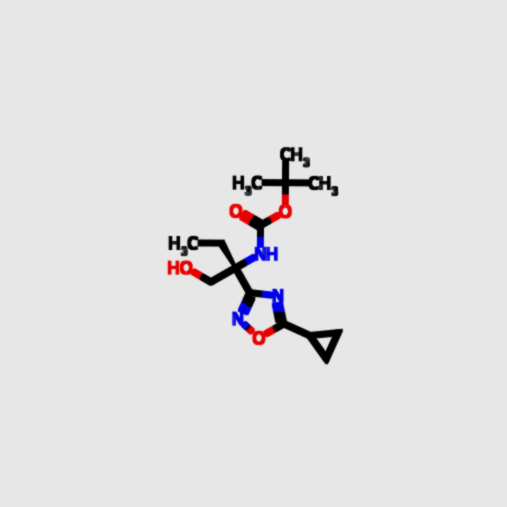 CC[C@@](CO)(NC(=O)OC(C)(C)C)c1noc(C2CC2)n1